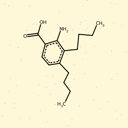 CCCCc1ccc(C(=O)O)c(N)c1CCCC